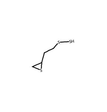 SSCCC1CS1